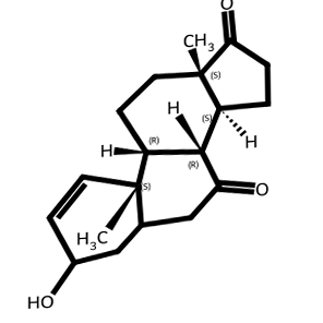 C[C@]12C=CC(O)CC1CC(=O)[C@@H]1[C@H]2CC[C@]2(C)C(=O)CC[C@@H]12